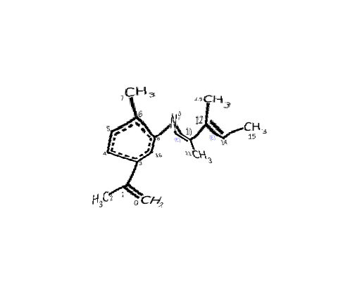 C=C(C)c1ccc(C)c(/N=C(C)/C(C)=C/C)c1